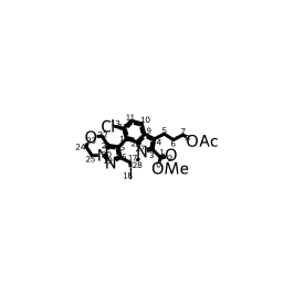 COC(=O)c1c(CCCOC(C)=O)c2ccc(Cl)c(-c3c(CI)nn4c3COCC4)c2n1C